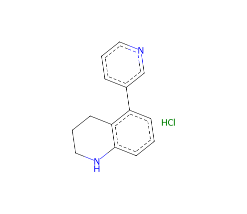 Cl.c1cncc(-c2cccc3c2CCCN3)c1